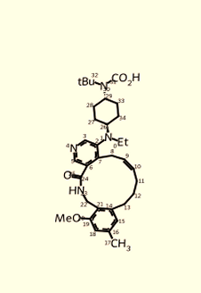 CCN(c1cncc2c1CC=CCCCc1cc(C)cc(OC)c1CNC2=O)[C@H]1CC[C@H](N(C(=O)O)C(C)(C)C)CC1